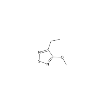 CCc1nsnc1OC